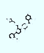 CCOc1ncccc1-c1ccc(N2CCN(C(=O)c3ccc(Cl)cc3C(F)(F)F)C[C@H]2CC)c(C(=O)NCC2CN(C)C2)n1